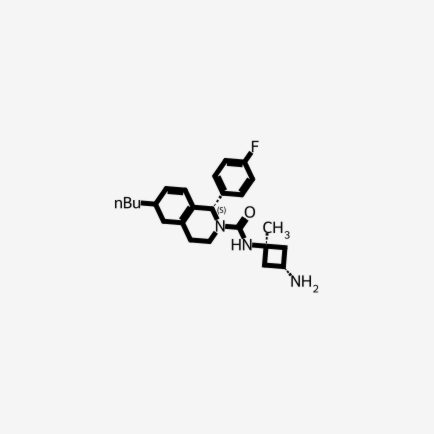 CCCCC1C=CC2=C(CCN(C(=O)N[C@]3(C)C[C@@H](N)C3)[C@H]2c2ccc(F)cc2)C1